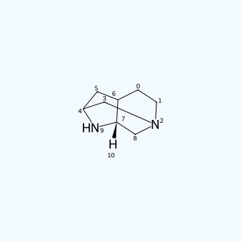 C1CN2CC3CC1[C@H](C2)N3